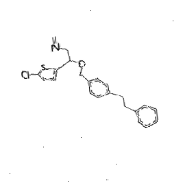 C=NCC(OCc1ccc(CCc2ccccc2)cc1)c1ccc(Cl)s1